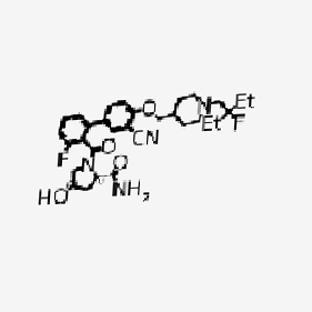 CCC(F)(CC)CN1CCC(COc2ccc(-c3cccc(F)c3C(=O)N3C[C@H](O)C[C@H]3C(N)=O)cc2C#N)CC1